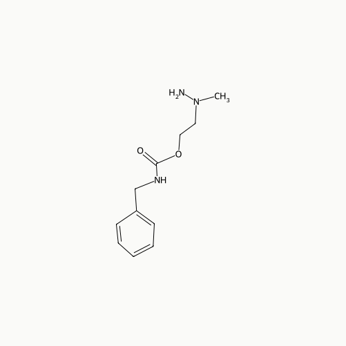 CN(N)CCOC(=O)NCc1ccccc1